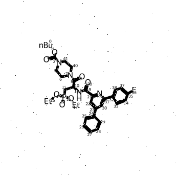 CCCCOC(=O)N1CCN(C(=O)C(CP(=O)(OCC)OCC)NC(=O)c2cc(-c3ccccc3)cc(-c3ccc(F)cc3)n2)CC1